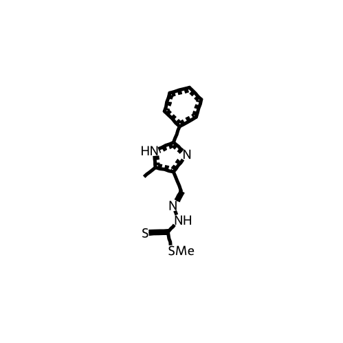 CSC(=S)NN=Cc1nc(-c2ccccc2)[nH]c1C